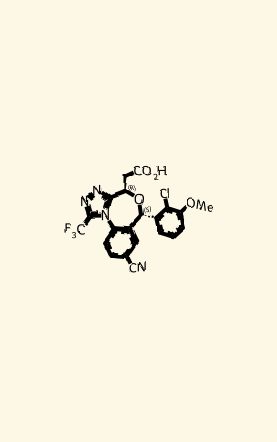 COc1cccc([C@H]2O[C@H](CC(=O)O)c3nnc(C(F)(F)F)n3-c3ccc(C#N)cc32)c1Cl